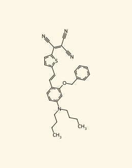 CCCCN(CCCC)c1ccc(C=Cc2ccc(C(C#N)=C(C#N)C#N)s2)c(OCc2ccccc2)c1